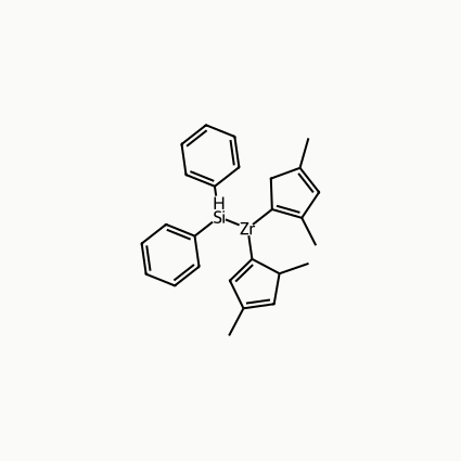 CC1=CC(C)[C]([Zr]([C]2=C(C)C=C(C)C2)[SiH](c2ccccc2)c2ccccc2)=C1